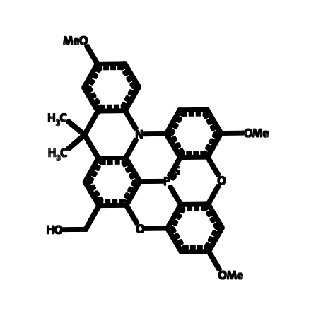 COc1cc2c3c(c1)Oc1c(CO)cc4c5c1P3(=S)c1c(ccc(OC)c1O2)N5c1ccc(OC)cc1C4(C)C